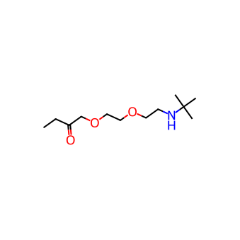 CCC(=O)COCCOCCNC(C)(C)C